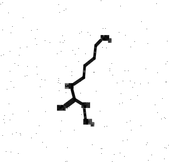 N=C(NN)NCCCCN